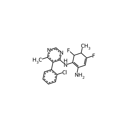 Cc1ncnc(NC2=C(N)C=C(F)C(C)C2F)c1-c1ccccc1Cl